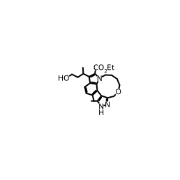 CCOC(=O)c1c(C(C)CCO)c2ccc(C)c3c2n1CCCCOCc1n[nH]c(C)c1-3